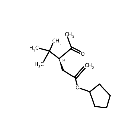 C=C(C[C@H](C(C)=O)C(C)(C)C)OC1CCCC1